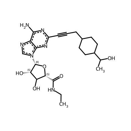 CCNC(=O)[C@H]1O[C@@H](n2cnc3c(N)nc(C#CCC4CCC(C(C)O)CC4)nc32)[C@@H](O)C1O